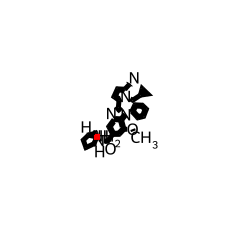 COc1cc(C(=O)N2C[C@H]3CC[C@@H]2[C@@H]3N)cc2nc(-c3ccc(C#N)n3CC3CC3)n(-c3ccccc3)c12